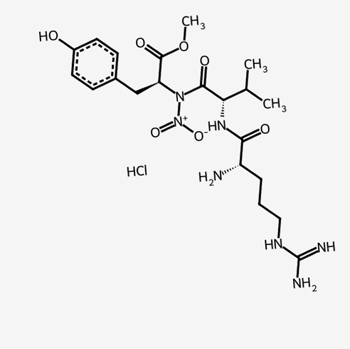 COC(=O)[C@H](Cc1ccc(O)cc1)N(C(=O)[C@@H](NC(=O)[C@@H](N)CCCNC(=N)N)C(C)C)[N+](=O)[O-].Cl